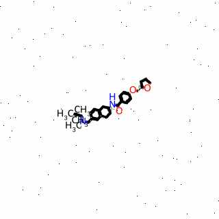 CN(Cc1ccc2c(c1)CC[C@H](NC(=O)c1ccc(OC[C@@H]3CCCO3)cc1)C2)CC(C)(C)C